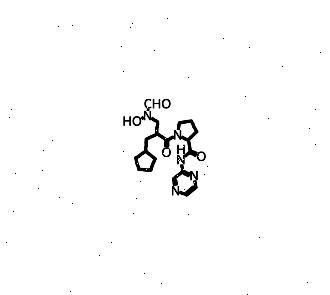 O=CN(O)CC(CC1CCCC1)C(=O)N1CCCC1C(=O)Nc1cnccn1